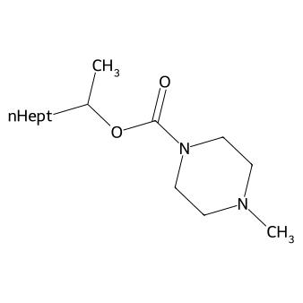 CCCCCCCC(C)OC(=O)N1CCN(C)CC1